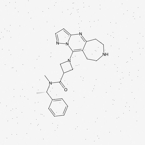 C[C@@H](c1ccccc1)N(C)C(=O)C1CN(c2c3c(nc4ccnn24)CCNCC3)C1